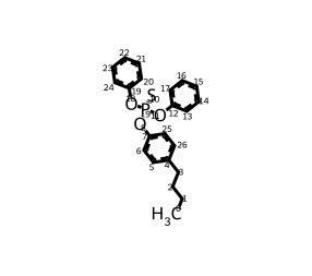 CCCCc1ccc(OP(=S)(Oc2ccccc2)Oc2ccccc2)cc1